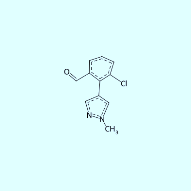 Cn1cc(-c2c(Cl)cccc2C=O)cn1